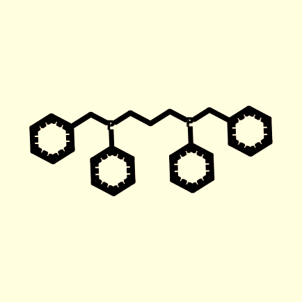 c1ccc(CP(CCCP(Cc2ccccc2)c2ccccc2)c2ccccc2)cc1